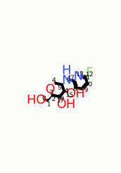 OC[C@H]1OC[C@H](Nc2cccc(F)n2)[C@@H](O)[C@H]1O